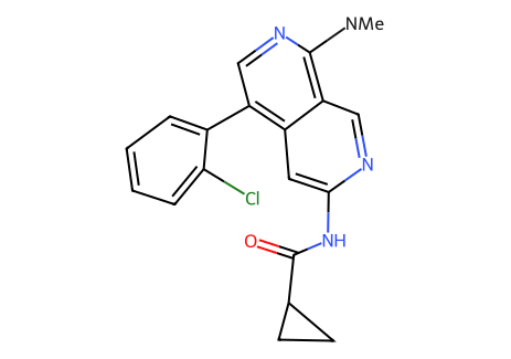 CNc1ncc(-c2ccccc2Cl)c2cc(NC(=O)C3CC3)ncc12